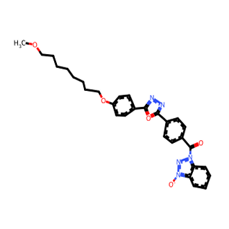 COCCCCCCCCOc1ccc(-c2nnc(-c3ccc(C(=O)n4n[n+]([O-])c5ccccc54)cc3)o2)cc1